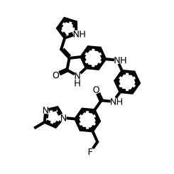 Cc1cn(-c2cc(CF)cc(C(=O)Nc3cccc(Nc4ccc5c(c4)NC(=O)/C5=C/c4ccc[nH]4)c3)c2)cn1